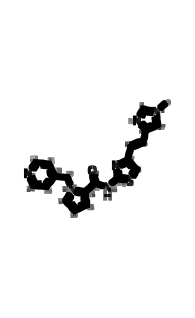 Cn1cnc(C=Cc2csc(NC(=O)c3cccn3Cc3ccncc3)n2)c1